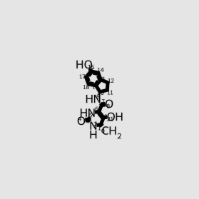 C=C1NC(=O)NC(C(=O)N[C@@H]2CCc3cc(O)ccc32)=C1O